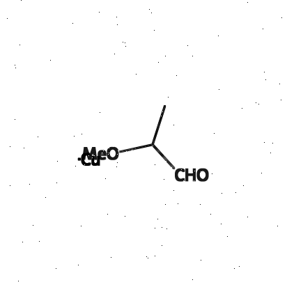 COC(C)C=O.[Cu]